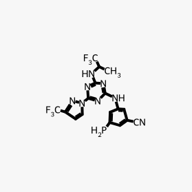 CC(Nc1nc(Nc2cc(P)cc(C#N)c2)nc(-n2ccc(C(F)(F)F)n2)n1)C(F)(F)F